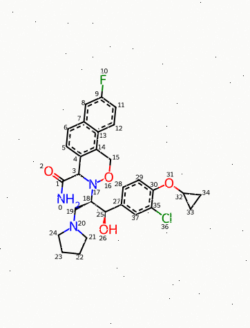 NC(=O)C1c2ccc3cc(F)ccc3c2CON1[C@H](CN1CCCC1)[C@H](O)c1ccc(OC2CC2)c(Cl)c1